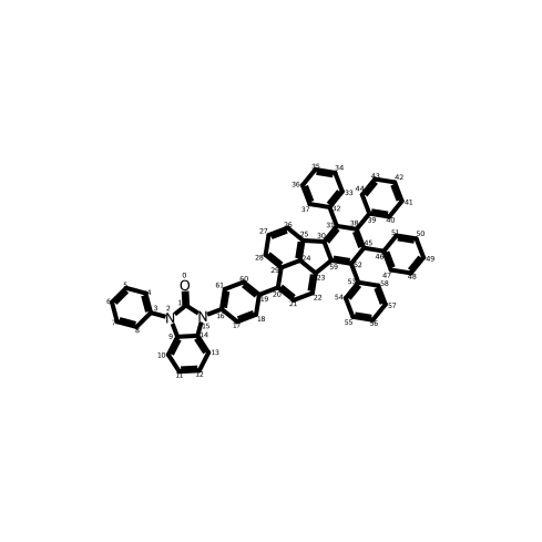 O=c1n(-c2ccccc2)c2ccccc2n1-c1ccc(-c2ccc3c4c(cccc24)-c2c(-c4ccccc4)c(-c4ccccc4)c(-c4ccccc4)c(-c4ccccc4)c2-3)cc1